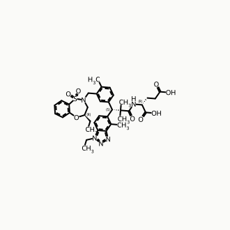 CC[C@@H]1CN(Cc2cc([C@@H](c3ccc4c(nnn4CC)c3C)C(C)(C)C(=O)N[C@H](CCC(=O)O)C(=O)O)ccc2C)S(=O)(=O)c2ccccc2O1